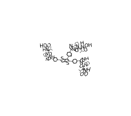 COC(=O)N[C@H](C(=O)N1CCCC1c1nc(-c2ccc(-c3sc4cc(-c5ccc(-c6cnc([C@@H]7CCCN7C(=O)[C@@H](NC(=O)O)C(C)C)[nH]6)cc5)sc4c3-c3ccc(-c4cnc(C5CCCN5C(=O)[C@@H](NC(=O)O)C(C)C)[nH]4)cc3)cc2)c[nH]1)C(C)C